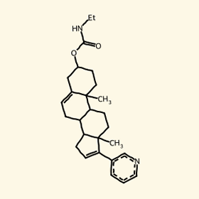 CCNC(=O)OC1CCC2(C)C(=CCC3C2CCC2(C)C(c4cccnc4)=CCC32)C1